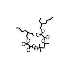 CCCCC(CC)COC(=O)C(=O)OOC(C)(C)CC(C)OC(=O)C(=O)OCC(CC)CCCC